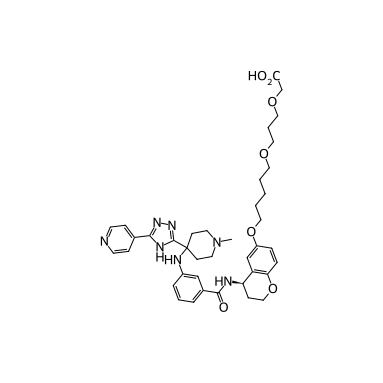 CN1CCC(Nc2cccc(C(=O)N[C@@H]3CCOc4ccc(OCCCCCOCCCOCC(=O)O)cc43)c2)(c2nnc(-c3ccncc3)[nH]2)CC1